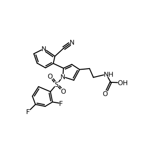 N#Cc1ncccc1-c1cc(CCNC(=O)O)cn1S(=O)(=O)c1ccc(F)cc1F